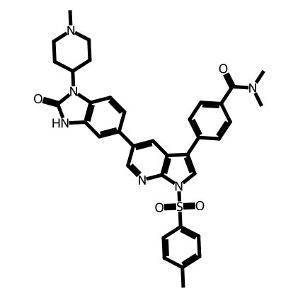 Cc1ccc(S(=O)(=O)n2cc(-c3ccc(C(=O)N(C)C)cc3)c3cc(-c4ccc5c(c4)[nH]c(=O)n5C4CCN(C)CC4)cnc32)cc1